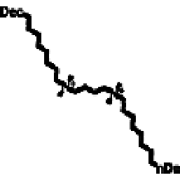 CCCCCCCCCCCCCCCCCC[N+](C)(C)CCCC[N+](C)(C)CCCCCCCCCCCCCCCCCC